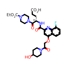 CCOC(=O)N1CCN(C(=O)[C@H](CCC(=O)O)NC(=O)c2cc(OCC(=O)N3CCC(O)CC3)c3cccc(F)c3n2)CC1